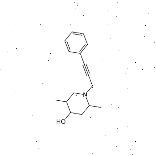 CC1CN(CC#Cc2ccccc2)C(C)CC1O